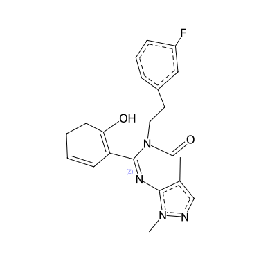 Cc1cnn(C)c1/N=C(/C1=C(O)CCC=C1)N(C=O)CCc1cccc(F)c1